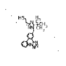 CC(C)(C)c1nc(CCS)nn1Cc1ccc(-c2ccccc2)c(-c2nnn[nH]2)c1